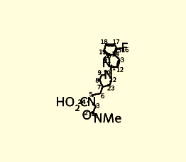 CNC(=O)CN(CCC1CCN(c2ccc3c(F)cccc3n2)CC1)C(=O)O